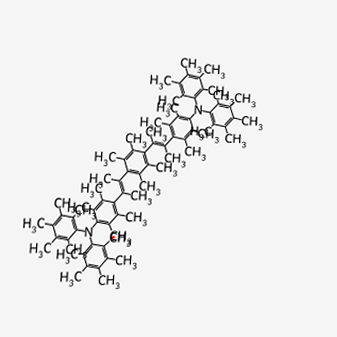 C/C(=C(/C)c1c(C)c(C)c(N(c2c(C)c(C)c(C)c(C)c2C)c2c(C)c(C)c(C)c(C)c2C)c(C)c1C)c1c(C)c(C)c(/C(C)=C(\C)c2c(C)c(C)c(N(c3c(C)c(C)c(C)c(C)c3C)c3c(C)c(C)c(C)c(C)c3C)c(C)c2C)c(C)c1C